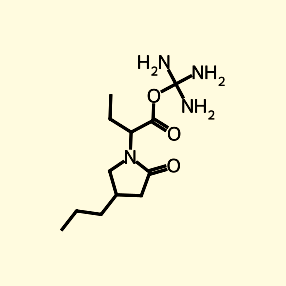 CCCC1CC(=O)N(C(CC)C(=O)OC(N)(N)N)C1